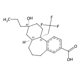 CCC[C@@]1(O)CC[C@@]2(CC(F)(F)F)c3ccc(C(=O)O)cc3CCC[C@H]2C1